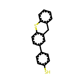 Sc1ccc(-c2ccc3c(c2)Cc2ccccc2S3)cc1